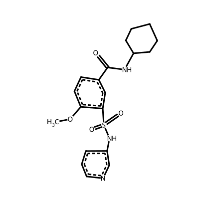 COc1ccc(C(=O)NC2CCCCC2)cc1S(=O)(=O)Nc1cccnc1